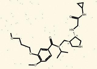 COCCCOc1cc(C(=O)N(C[C@@H]2CNC[C@H]2NCC(=O)NC2CC2)C(C)C)ccc1OC